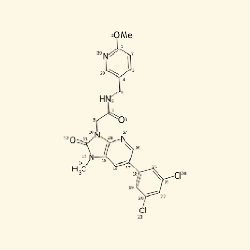 COc1ccc(CNC(=O)Cn2c(=O)n(C)c3cc(-c4cc(Cl)cc(Cl)c4)cnc32)cn1